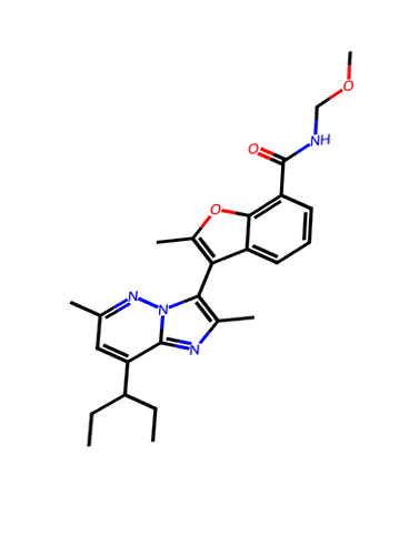 CCC(CC)c1cc(C)nn2c(-c3c(C)oc4c(C(=O)NCOC)cccc34)c(C)nc12